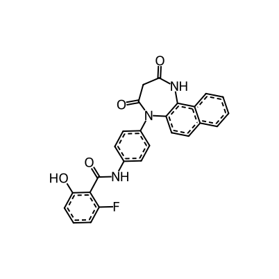 O=C1CC(=O)N(c2ccc(NC(=O)c3c(O)cccc3F)cc2)c2ccc3ccccc3c2N1